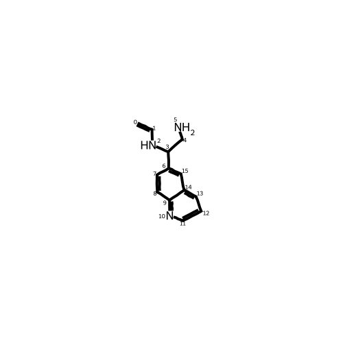 C=CNC(CN)c1ccc2ncccc2c1